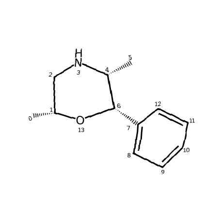 C[C@@H]1CN[C@H](C)[C@H](c2ccccc2)O1